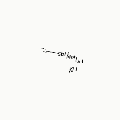 [KH].[LiH].[NaH].[SbH2][Ta]